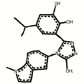 CC(C)c1cc(O)c(O)c(-c2nnc(O)n2-c2ccc3c(ccn3C)c2)c1